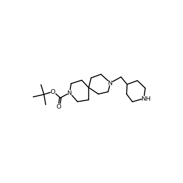 CC(C)(C)OC(=O)N1CCC2(CCN(CC3CCNCC3)CC2)CC1